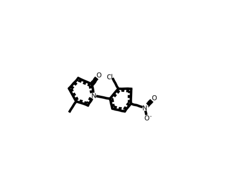 Cc1ccc(=O)n(-c2ccc([N+](=O)[O-])cc2Cl)c1